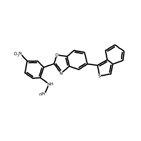 CCCNc1ccc([N+](=O)[O-])cc1-c1nc2cc(-c3scc4ccccc34)ccc2o1